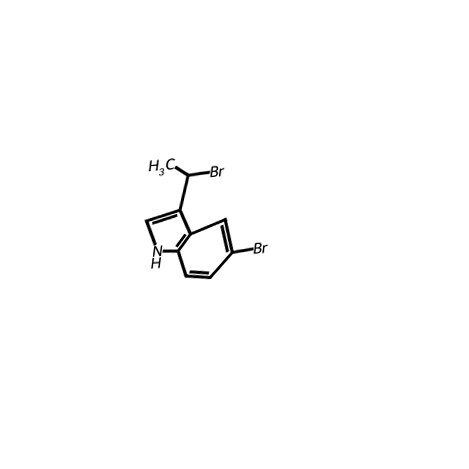 CC(Br)c1c[nH]c2ccc(Br)cc12